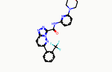 O=C(Nc1cccc(N2CCOCC2)n1)c1nnc2ccc(-c3ccccc3C(F)(F)F)nn12